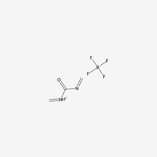 C=NC(=O)[NH+]=C.F[B-](F)(F)F